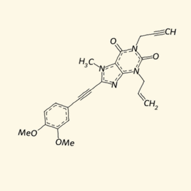 C#CCn1c(=O)c2c(nc(C#Cc3ccc(OC)c(OC)c3)n2C)n(CC=C)c1=O